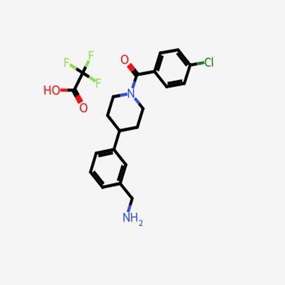 NCc1cccc(C2CCN(C(=O)c3ccc(Cl)cc3)CC2)c1.O=C(O)C(F)(F)F